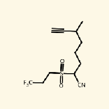 C#CC(C)CCCC(C#N)S(=O)(=O)CCC(F)(F)F